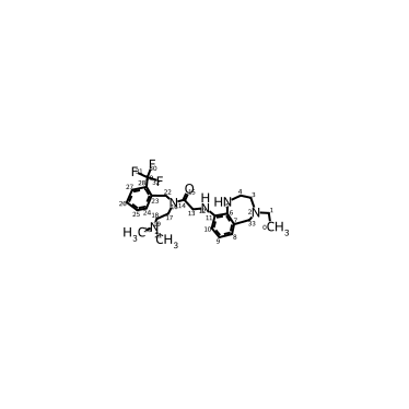 CCN1CCNc2c(cccc2NCC(=O)N(CCN(C)C)Cc2ccccc2C(F)(F)F)C1